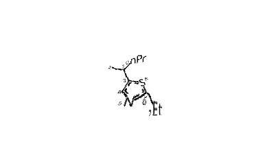 CCCC(C)c1cnc(CC)s1